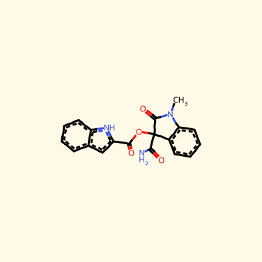 CN1C(=O)C(OC(=O)c2cc3ccccc3[nH]2)(C(N)=O)c2ccccc21